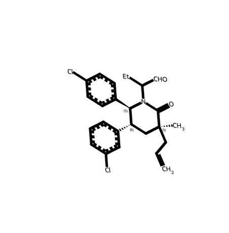 C=CC[C@@]1(C)C[C@H](c2cccc(Cl)c2)[C@@H](c2ccc(Cl)cc2)N(C(C=O)CC)C1=O